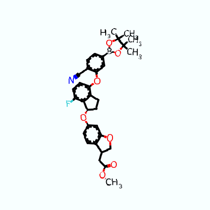 COC(=O)CC1COc2cc(O[C@@H]3CCc4c(Oc5cc(B6OC(C)(C)C(C)(C)O6)ccc5C#N)ccc(F)c43)ccc21